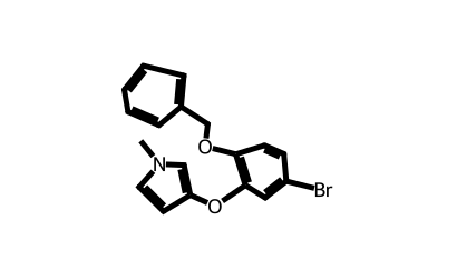 Cn1ccc(Oc2cc(Br)ccc2OCc2ccccc2)c1